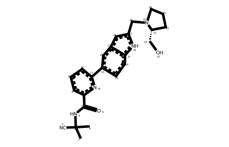 CC(C)(C#N)NC(=O)c1cccc(-c2ccc3[nH]c(CN4CCC[C@@H]4CO)cc3c2)n1